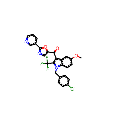 COc1ccc2c(c1)c(C(=O)c1cnc(-c3cccnc3)o1)c(C(F)(F)F)n2Cc1ccc(Cl)cc1